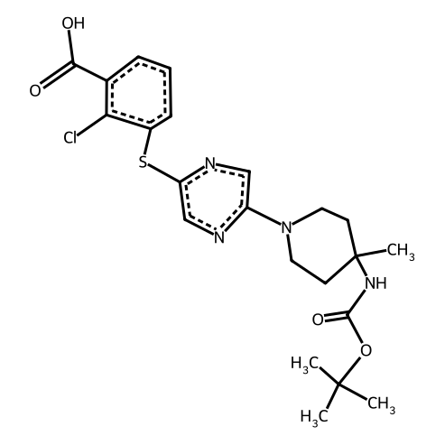 CC1(NC(=O)OC(C)(C)C)CCN(c2cnc(Sc3cccc(C(=O)O)c3Cl)cn2)CC1